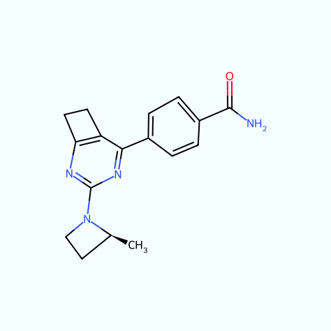 C[C@H]1CCN1c1nc2c(c(-c3ccc(C(N)=O)cc3)n1)CC2